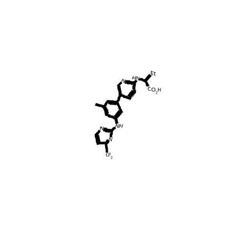 CCC(Nc1ccc(-c2cc(C)cc(Nc3nccc(C(F)(F)F)n3)c2)cn1)C(=O)O